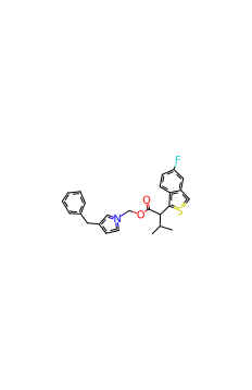 CC(C)C(C(=O)OCn1ccc(Cc2ccccc2)c1)c1scc2cc(F)ccc12